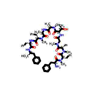 CC(C)C[C@H](NC(=O)[C@H](CC(C)C)N(C)C(=O)[C@H](C)NC(=O)[C@H](C)N(C)C(=O)[C@@H](NC(=O)CN(C)C(=O)[C@H](C(C)C)N(C)C(=O)[C@H](CC(C)C)N(C)C(=O)[C@@H](N)Cc1ccccc1)[C@@H](C)O)C(=O)N[C@@H](Cc1ccccc1)C(=O)O